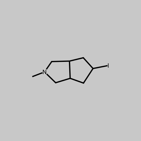 CN1CC2CC(I)CC2C1